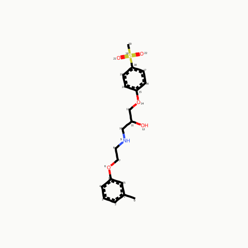 Cc1cccc(OCCNCC(O)COc2ccc(S(C)(=O)=O)cc2)c1